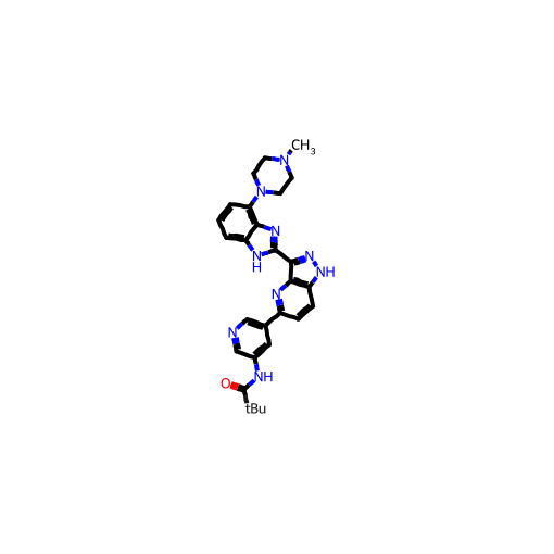 CN1CCN(c2cccc3[nH]c(-c4n[nH]c5ccc(-c6cncc(NC(=O)C(C)(C)C)c6)nc45)nc23)CC1